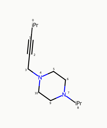 CC(C)C#CCN1CCN(C(C)C)CC1